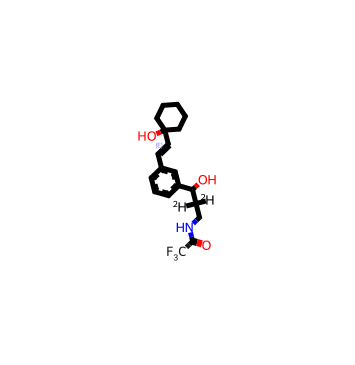 [2H]C([2H])(CNC(=O)C(F)(F)F)C(O)c1cccc(/C=C/C2(O)CCCCC2)c1